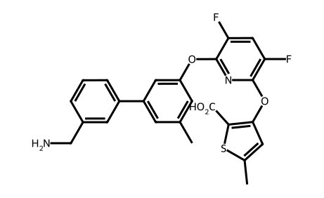 Cc1cc(Oc2nc(Oc3cc(C)sc3C(=O)O)c(F)cc2F)cc(-c2cccc(CN)c2)c1